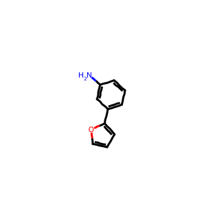 Nc1cccc(-c2ccco2)c1